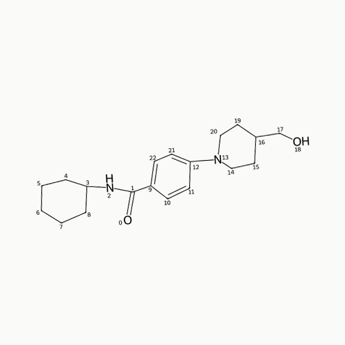 O=C(NC1CCCCC1)c1ccc(N2CCC(CO)CC2)cc1